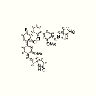 COc1nc(-c2cccc(-c3c(F)ccc(-c4ccc(CN5CC6(CCC(=O)N6)C5)c(OC)n4)c3Cl)c2Cl)ccc1CN1CC2(CCC(=O)N2)C1